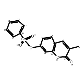 Cc1cc2ccc(OS(=O)(=O)c3ccccc3)cc2oc1=O